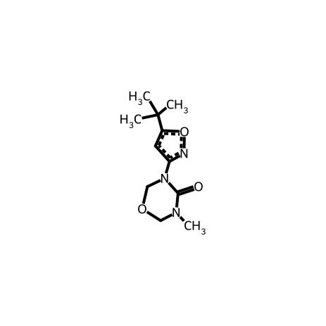 CN1COCN(c2cc(C(C)(C)C)on2)C1=O